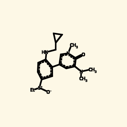 CC[S+]([O-])c1ccc(NCC2CC2)c(-c2cc(N(C)C)c(=O)n(C)c2)c1